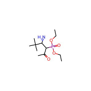 CCOP(=O)(OCC)C(C(C)=O)C(N)C(C)(C)C